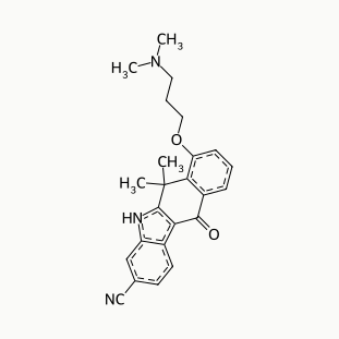 CN(C)CCCOc1cccc2c1C(C)(C)c1[nH]c3cc(C#N)ccc3c1C2=O